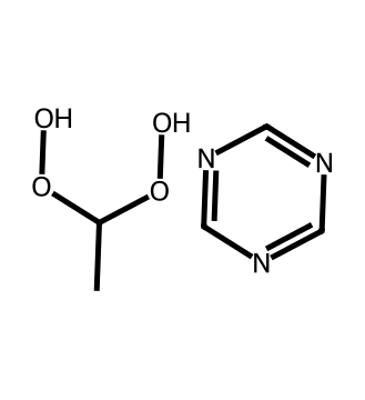 CC(OO)OO.c1ncncn1